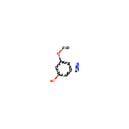 C#N.O=COc1cccc(O)c1